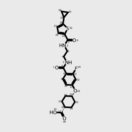 O=C(NCCNC(=O)c1ccc(O[C@H]2CC[C@@H](C(=O)O)CC2)cc1F)c1ccc(C2CC2)s1